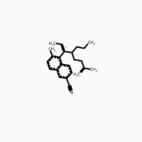 C=C(C)CCC(CCC)/C(=C/C)c1c(C)ccc2cc(C#N)ccc12